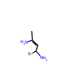 C/C(N)=C/C(N)Br